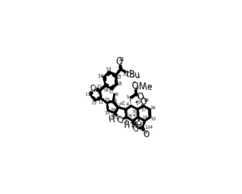 COC(=O)C[C@H]1[C@]2(C)C3=C(C)C(c4ccoc4-c4ccc(C(=O)C(C)(C)C)cc4)C[C@H]3O[C@@H]2[C@@H]2OC(=O)[C@]3(C)C=CC(=O)[C@@]1(C)[C@@H]23